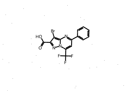 O=C(O)c1nn2c(C(F)(F)F)cc(-c3ccccc3)nc2c1Br